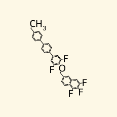 CCc1ccc(-c2ccc(-c3cc(F)c(OCc4ccc5c(F)c(F)c(F)cc5c4)c(F)c3)cc2)cc1